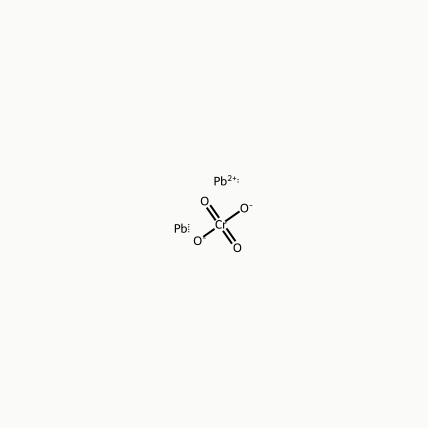 [O]=[Cr](=[O])([O-])[O-].[Pb+2].[Pb]